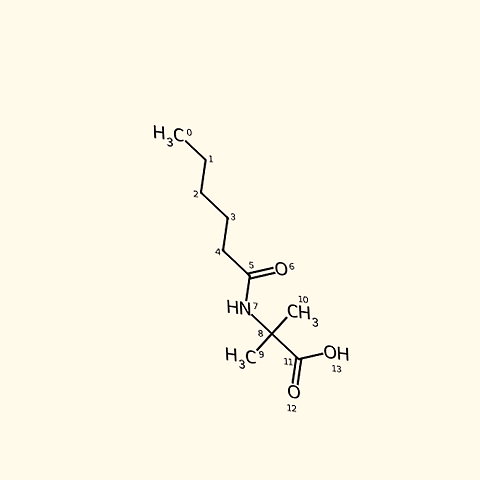 CCCCCC(=O)NC(C)(C)C(=O)O